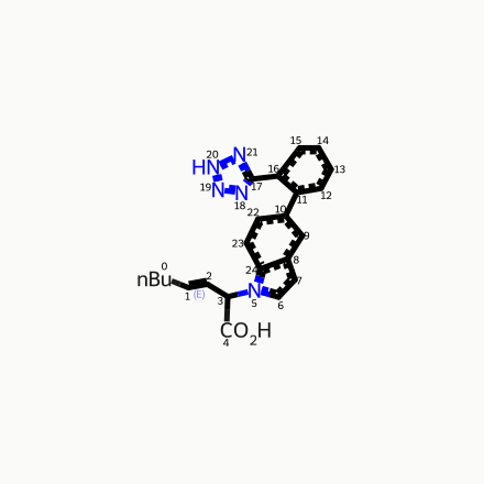 CCCC/C=C/C(C(=O)O)n1ccc2cc(-c3ccccc3-c3nn[nH]n3)ccc21